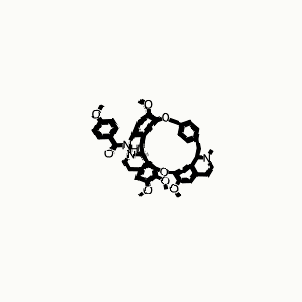 COc1ccc(C(=O)N2c3cc(OC)c4cc3C[C@H]3c5c(cc(OC)c(OC)c5Oc5cc6c(cc5OC)CCN(C)C6Cc5ccc(cc5)O4)CCN32)cc1